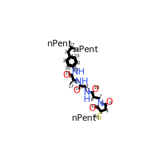 CCCCCSC1CC(=O)N(CCC(=O)NCC(=O)N[C@@H](C)C(=O)Nc2ccc(CC(CCCCC)CCCCC)cc2)C1=O